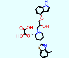 Cc1cccc2sc([C@H]3CCN(C[C@H](O)COc4cccc5[nH]ccc45)[C@@H](C)C3)nc12.O=C(O)C(=O)O